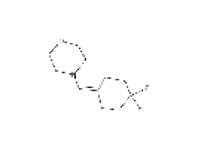 FC1(F)CCC(=CN2CCOCC2)CC1